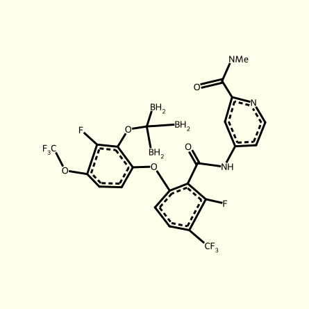 BC(B)(B)Oc1c(Oc2ccc(C(F)(F)F)c(F)c2C(=O)Nc2ccnc(C(=O)NC)c2)ccc(OC(F)(F)F)c1F